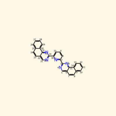 c1cc(-c2ncc3ccc4ccccc4c3n2)nc(-c2ncc3ccc4ccccc4c3n2)c1